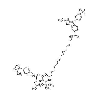 Cc1ncsc1-c1ccc(CNC(=O)[C@@H]2C[C@@H](O)CN2C(=O)C(NC(=O)CCCCCCOCCOCCOCCNC(=O)c2ccc3c(c2)c2cn(C)nc2n3-c2ccc(C(F)(F)F)cc2)C(C)(C)C)cc1